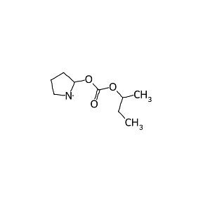 CCC(C)OC(=O)OC1CCC[N]1